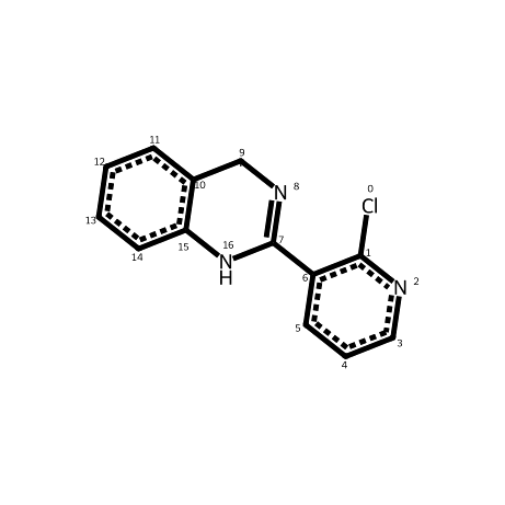 Clc1ncccc1C1=N[CH]c2ccccc2N1